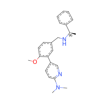 COc1ccc(CN[C@H](C)c2ccccc2)cc1-c1ccc(N(C)C)nc1